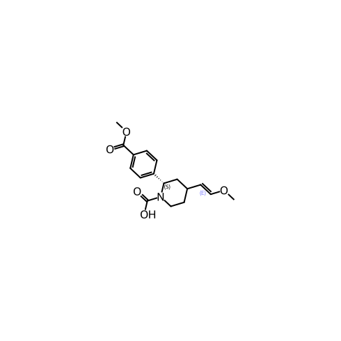 CO/C=C/C1CCN(C(=O)O)[C@H](c2ccc(C(=O)OC)cc2)C1